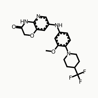 COc1cc(Nc2cnc3c(c2)OCC(=O)N3)ccc1N1CCC(C(F)(F)F)CC1